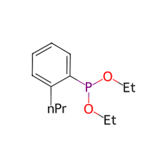 CCCc1ccccc1P(OCC)OCC